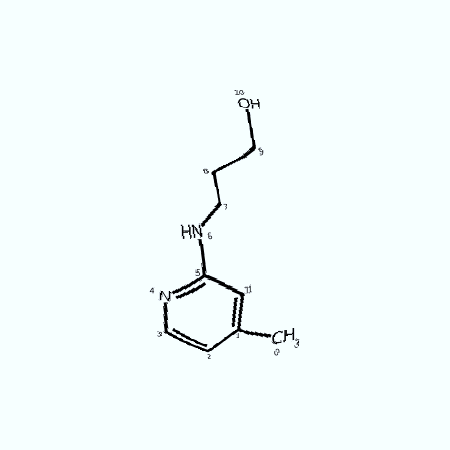 Cc1ccnc(NCCCO)c1